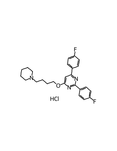 Cl.Fc1ccc(-c2cc(OCCCCN3CCCCC3)nc(-c3ccc(F)cc3)n2)cc1